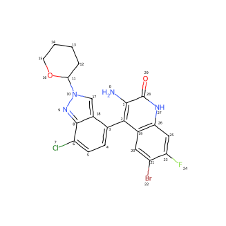 Nc1c(-c2ccc(Cl)c3nn(C4CCCCO4)cc23)c2cc(Br)c(F)cc2[nH]c1=O